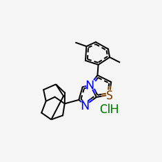 Cc1ccc(C)c(-c2csc3nc(C45CC6CC(CC(C6)C4)C5)cn23)c1.Cl